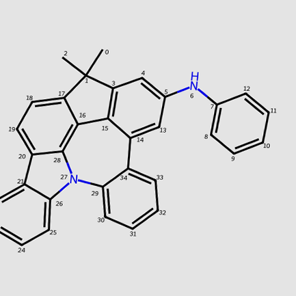 CC1(C)c2cc(Nc3ccccc3)cc3c2-c2c1ccc1c4ccccc4n(c21)-c1ccccc1-3